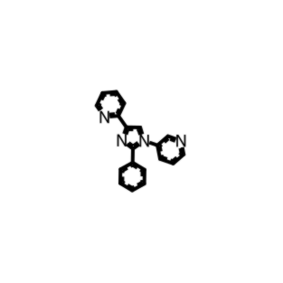 c1ccc(-c2nc(-c3ccccn3)cn2-c2cccnc2)cc1